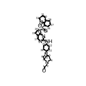 O=CCN1CC2CC1CN2c1ccc(Nc2ncc3ccn(S(=O)(=O)c4cccc5cccnc45)c3n2)cc1